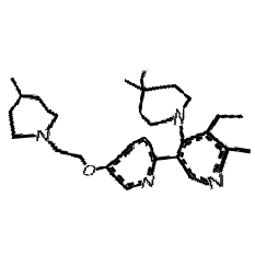 CCc1c(C)ncc(-c2ccc(OCCN3CCC(C)CC3)cn2)c1N1CCC(C)(C)CC1